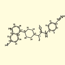 CC(C(=O)Nc1ccc(C#N)cc1)C1CCC(c2ccnc3cc(F)ccc23)CC1